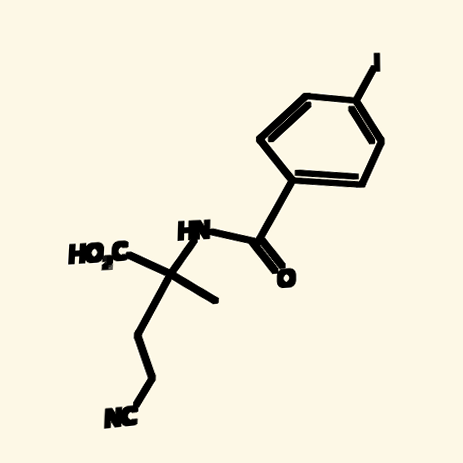 CC(CCC#N)(NC(=O)c1ccc(I)cc1)C(=O)O